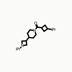 CC(C)C1CC(C(=O)N2CCC(C3CN(C(C)C)C3)CC2)C1